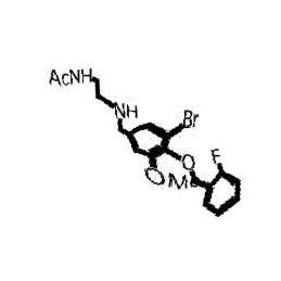 COc1cc(CNCCNC(C)=O)cc(Br)c1OCc1ccccc1F